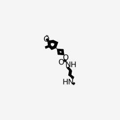 CNC/C=C/CNC(=O)O[C@H]1C[C@H](c2ccc(OC)c(C)c2)C1